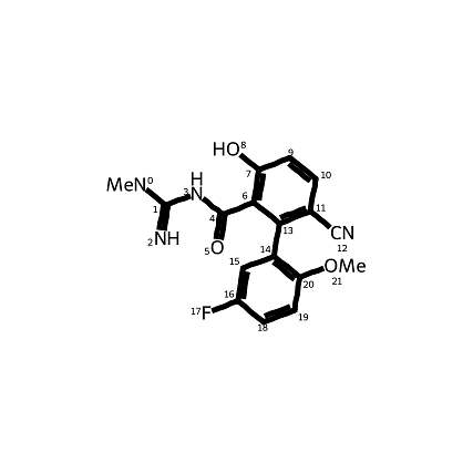 CNC(=N)NC(=O)c1c(O)ccc(C#N)c1-c1cc(F)ccc1OC